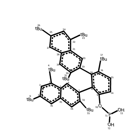 CC(C)(C)c1cc(C(C)(C)C)c2cc(-c3c(OP(O)O)ccc(C(C)(C)C)c3-c3cc4c(C(C)(C)C)cc(C(C)(C)C)cc4cc3C(C)(C)C)c(C(C)(C)C)cc2c1